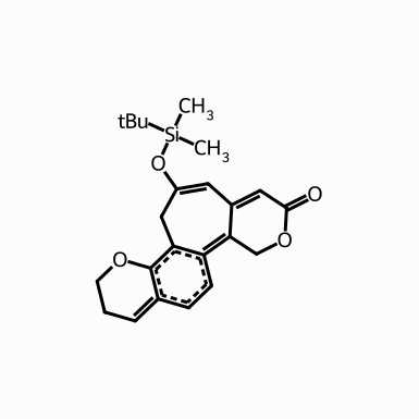 CC(C)(C)[Si](C)(C)OC1=CC2=CC(=O)OCC2=c2ccc3c(c2C1)OCCC=3